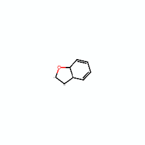 [C]1[C]C2C=CC=CC2O1